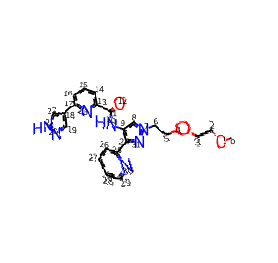 COCCOCCn1cc(NC(=O)c2cccc(-c3cn[nH]c3)n2)c(-c2ccccn2)n1